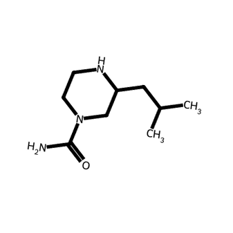 CC(C)CC1CN(C(N)=O)CCN1